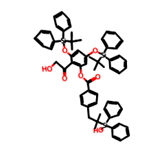 CC(C)(Cc1ccc(C(=O)Oc2cc(O[Si](c3ccccc3)(c3ccccc3)C(C)(C)C)cc(O[Si](c3ccccc3)(c3ccccc3)C(C)(C)C)c2C(=O)CO)cc1)[Si](O)(c1ccccc1)c1ccccc1